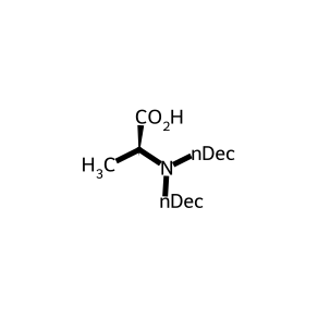 CCCCCCCCCCN(CCCCCCCCCC)[C@@H](C)C(=O)O